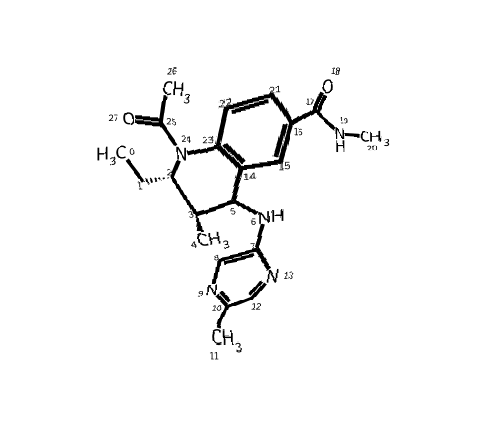 CC[C@H]1[C@H](C)C(Nc2cnc(C)cn2)c2cc(C(=O)NC)ccc2N1C(C)=O